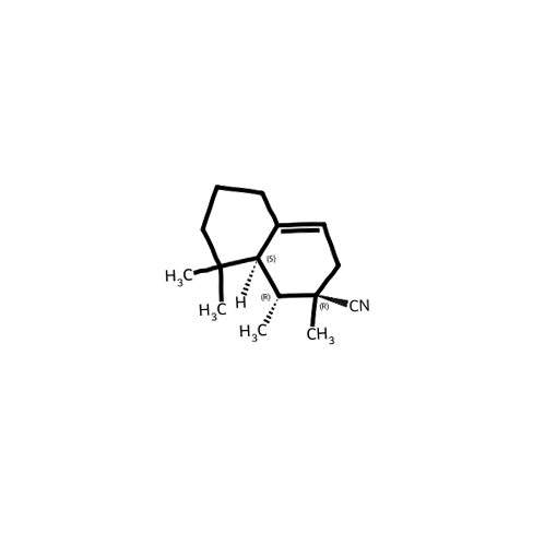 C[C@@H]1[C@@H]2C(=CC[C@@]1(C)C#N)CCCC2(C)C